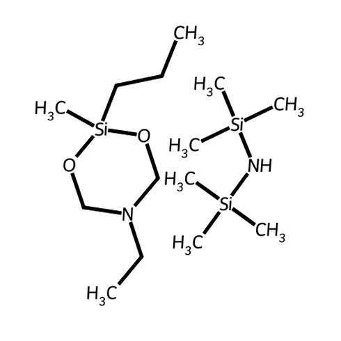 CCC[Si]1(C)OCN(CC)CO1.C[Si](C)(C)N[Si](C)(C)C